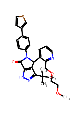 COCCOCc1ncccc1C1c2c(C(C)(C)C)n[nH]c2C(=O)N1c1ccc(-c2ccsc2)cc1